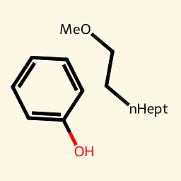 CCCCCCCCCOC.Oc1ccccc1